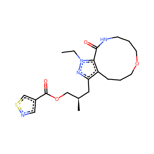 CCn1nc(C[C@@H](C)COC(=O)c2cnsc2)c2c1C(=O)NCCCOCCC2